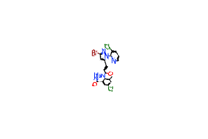 Cc1cc(Cl)cc(C(N)=O)c1NC(=O)/C=C/c1cc(Br)nn1-c1ncccc1Cl